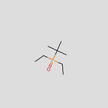 CCP(=O)(CC)C(C)(C)C